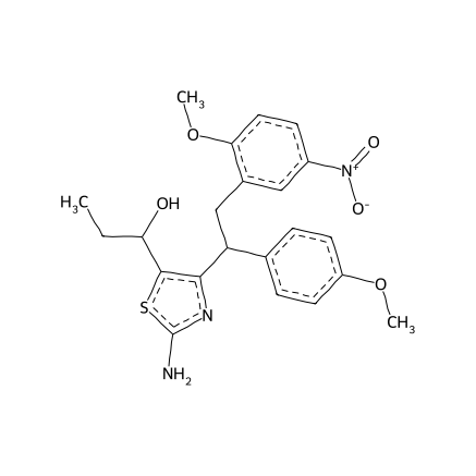 CCC(O)c1sc(N)nc1C(Cc1cc([N+](=O)[O-])ccc1OC)c1ccc(OC)cc1